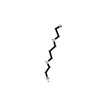 BrCCOCCCOCCBr